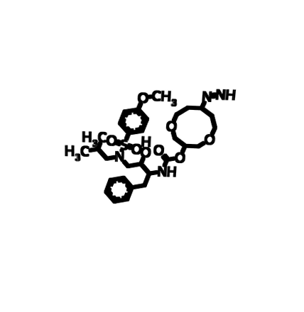 COc1ccc(S(=O)(=O)N(CC(C)C)CC(O)C(Cc2ccccc2)NC(=O)OC2COCCC(N=N)CCOC2)cc1